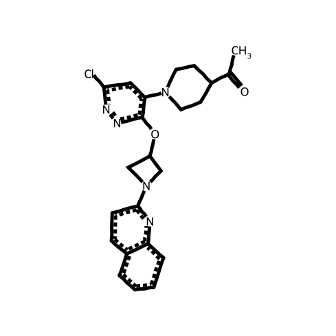 CC(=O)C1CCN(c2cc(Cl)nnc2OC2CN(c3ccc4ccccc4n3)C2)CC1